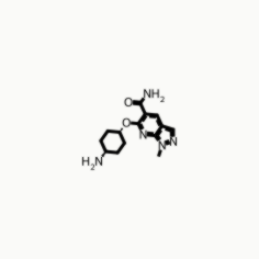 Cn1ncc2cc(C(N)=O)c(O[C@H]3CC[C@H](N)CC3)nc21